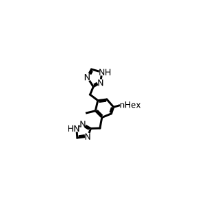 CCCCCCc1cc(Cc2nc[nH]n2)c(C)c(Cc2nc[nH]n2)c1